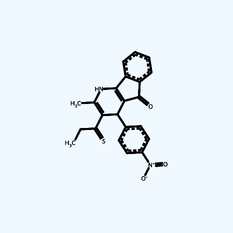 CCC(=S)C1=C(C)NC2=C(C(=O)c3ccccc32)C1c1ccc([N+](=O)[O-])cc1